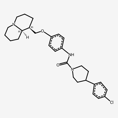 O=C(Nc1ccc(OC[C@@H]2CCCN3CCCC[C@H]23)cc1)N1CCC(c2ccc(Cl)cc2)CC1